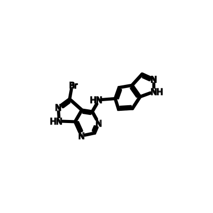 Brc1n[nH]c2ncnc(Nc3ccc4[nH]ncc4c3)c12